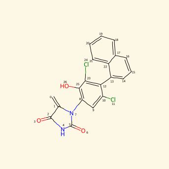 C=C1C(=O)NC(=O)N1c1cc(Cl)c(-c2cccc3ccccc23)c(Cl)c1O